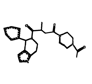 CC(=O)N1CCN(C(=O)CC(C)C(=O)N2CCc3sccc3C2c2ccccc2)CC1